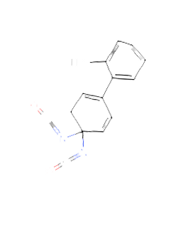 Cc1ccccc1C1=CCC(N=C=O)(N=C=O)C=C1